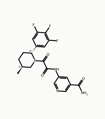 C[C@H]1CC[C@H](c2cc(F)c(F)c(F)c2)N(C(=O)C(=O)Nc2cncc(C(N)=O)c2)C1